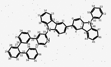 C1=CC2C(C=C1c1ccc3c(c1)c1ccccc1n3-c1cc(-c3cccc(-c4ccccc4-c4ccccc4)c3)ccn1)c1ccccc1N2c1ccccc1